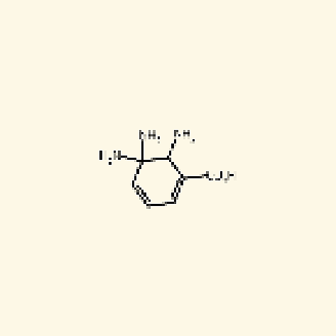 NC1C(C(=O)O)=CC=CC1(N)N